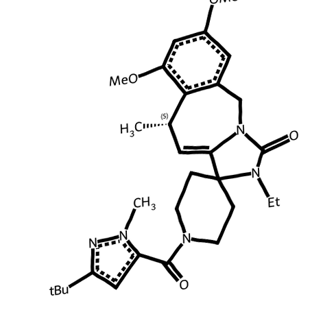 CCN1C(=O)N2Cc3cc(OC)cc(OC)c3[C@@H](C)C=C2C12CCN(C(=O)c1cc(C(C)(C)C)nn1C)CC2